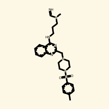 Cc1ccc(S(=O)(=O)N2CCN(Cc3nc(NCCCN(C)C=N)c4ccccc4n3)CC2)cc1